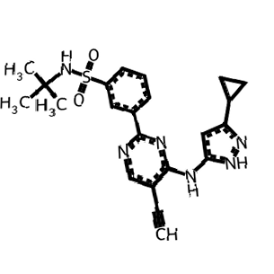 C#Cc1cnc(-c2cccc(S(=O)(=O)NC(C)(C)C)c2)nc1Nc1cc(C2CC2)n[nH]1